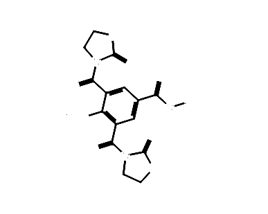 CCCCNC(=O)c1cc(C(=O)N2CCSC2=S)c(OC)c(C(=O)N2CCSC2=S)c1